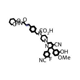 COc1ccc(-c2c(C#N)cc(N3CCC(N(Cc4ccc(/C=C/C(=O)NOC5CCCCO5)cc4)C(=O)O)CC3)nc2-c2ccc(C#N)c(F)c2)cc1O